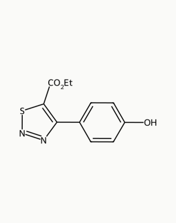 CCOC(=O)c1snnc1-c1ccc(O)cc1